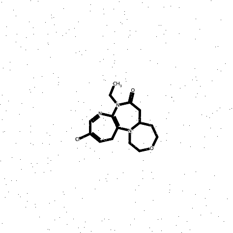 CCN1C(=O)CC2CCOCCN2C2=C1N=CC(Cl)=CC2